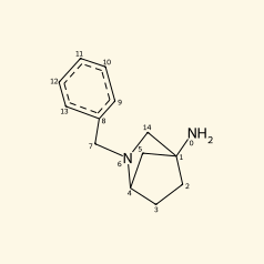 NC12CCC(C1)N(Cc1ccccc1)C2